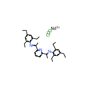 CCc1cc(CC)c(N=C(C)c2cccc(C(C)=Nc3c(CC)cc(CC)cc3CC)n2)c(CC)c1.[Cl-].[Cl-].[Cl-].[Nd+3]